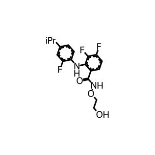 CC(C)c1ccc(Nc2c(C(=O)NOCCO)ccc(F)c2F)c(F)c1